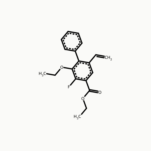 C=Cc1cc(C(=O)OCC)c(F)c(OCC)c1-c1ccccc1